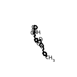 Cc1ccc(CCN2CCC3(CC2)CC(=O)c2cc(C=CC(=O)NOC4CCCCO4)ccc2O3)cc1